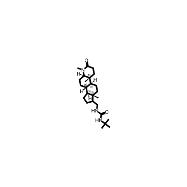 CN1C(=O)CC[C@]2(C)[C@H]3CC[C@]4(C)C(CNC(=O)NC(C)(C)C)CC[C@H]4[C@@H]3CC[C@@H]12